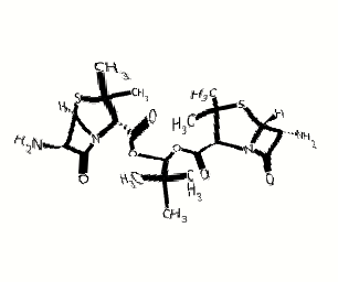 CC(C)(C)C(OC(=O)[C@@H]1N2C(=O)[C@@H](N)[C@H]2SC1(C)C)OC(=O)[C@@H]1N2C(=O)[C@@H](N)[C@H]2SC1(C)C